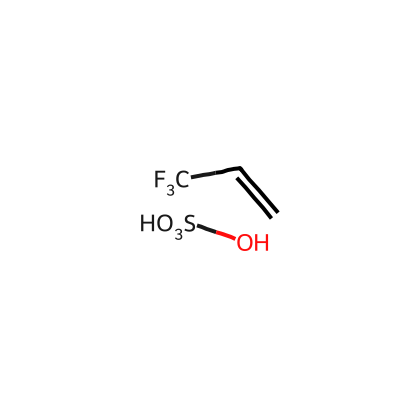 C=CC(F)(F)F.O=S(=O)(O)O